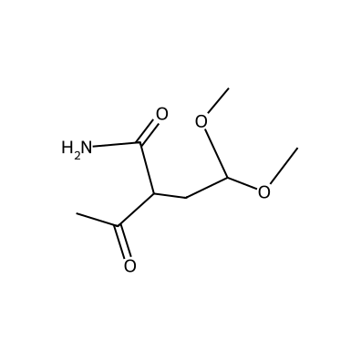 COC(CC(C(C)=O)C(N)=O)OC